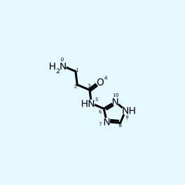 NCCC(=O)Nc1nc[nH]n1